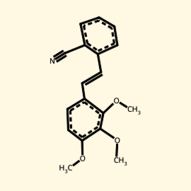 COc1ccc(/C=C/c2ccccc2C#N)c(OC)c1OC